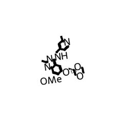 COc1cc2nc(C)nc(NCc3ccnc(C)c3)c2cc1OC[C@@H]1COCCO1